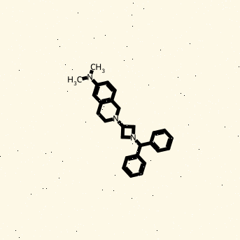 CN(C)c1ccc2c(c1)CCN(C1CN(C(c3ccccc3)c3ccccc3)C1)C2